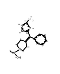 CB(O)N1CCC(=C(c2ccccc2)c2nnc(C(F)(F)F)o2)CC1